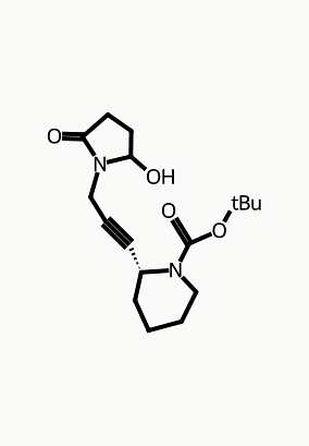 CC(C)(C)OC(=O)N1CCCC[C@@H]1C#CCN1C(=O)CCC1O